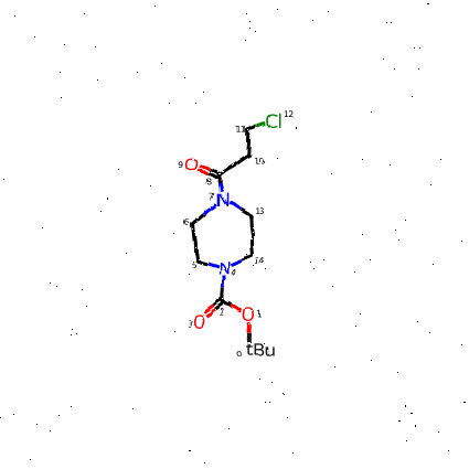 CC(C)(C)OC(=O)N1CCN(C(=O)CCCl)CC1